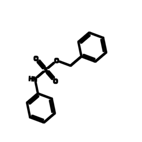 O=S(=O)(Nc1ccccc1)OCc1ccccc1